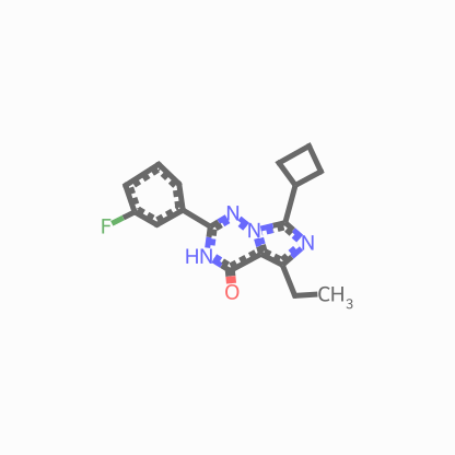 CCc1nc(C2CCC2)n2nc(-c3cccc(F)c3)[nH]c(=O)c12